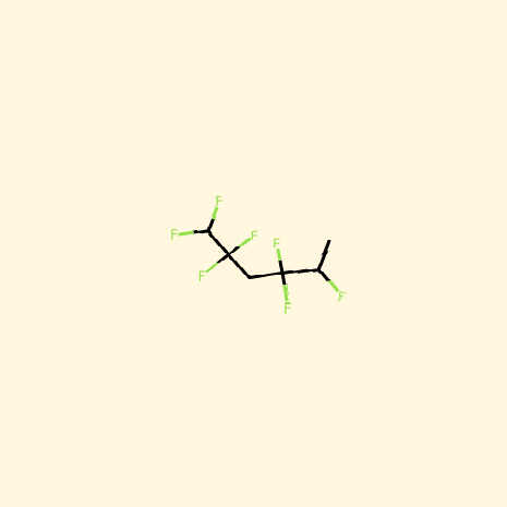 CC(F)C(F)(F)CC(F)(F)[C](F)F